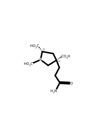 NC(=O)CC[C@]1(C(=O)O)C[C@@H](C(=O)O)N(C(=O)O)C1